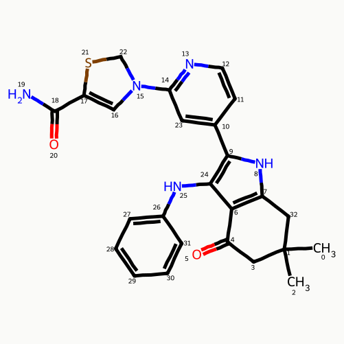 CC1(C)CC(=O)c2c([nH]c(-c3ccnc(N4C=C(C(N)=O)SC4)c3)c2Nc2ccccc2)C1